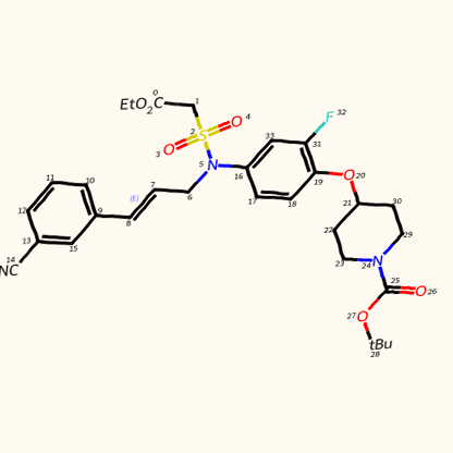 CCOC(=O)CS(=O)(=O)N(C/C=C/c1cccc(C#N)c1)c1ccc(OC2CCN(C(=O)OC(C)(C)C)CC2)c(F)c1